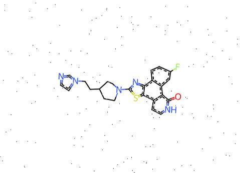 O=c1[nH]ccc2c3sc(N4CCC(CCn5ccnc5)CC4)nc3c3ccc(F)cc3c12